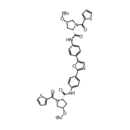 CC(C)(C)O[C@@H]1C[C@@H](C(=O)Nc2ccc(-c3cnc(-c4ccc(NC(=O)[C@@H]5C[C@@H](OC(C)(C)C)CN5C(=O)c5cccs5)cc4)o3)cc2)N(C(=O)c2cccs2)C1